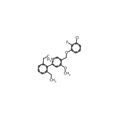 CCc1cccc(CC)c1-c1cc(OC)c(COc2cccc(Cl)c2F)cn1